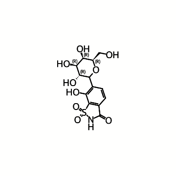 O=C1NS(=O)(=O)c2c1ccc(C1O[C@H](CO)[C@H](O)[C@H](O)[C@H]1O)c2O